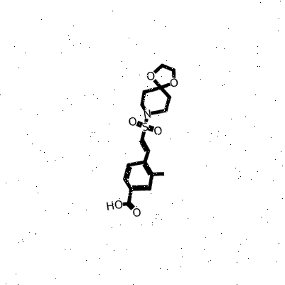 Cc1cc(C(=O)O)ccc1C=CS(=O)(=O)N1CCC2(CC1)OCCO2